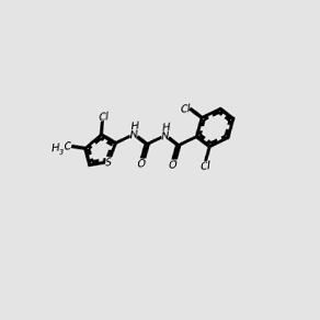 Cc1csc(NC(=O)NC(=O)c2c(Cl)cccc2Cl)c1Cl